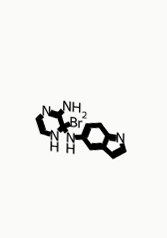 NC1=NC=CNC1(Br)NC1=CCC2=NC=CC2=C1